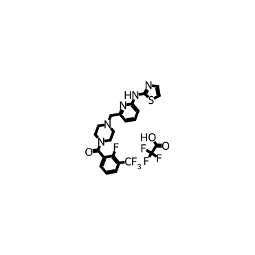 O=C(O)C(F)(F)F.O=C(c1cccc(C(F)(F)F)c1F)N1CCN(Cc2cccc(Nc3nccs3)n2)CC1